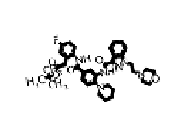 CC(C)(C)OC(=O)Cc1cc(F)ccc1NC(=O)c1ccc(N2CCCCC2)c(NC(=O)c2nn(CCN3CCOCC3)c3ccccc23)c1